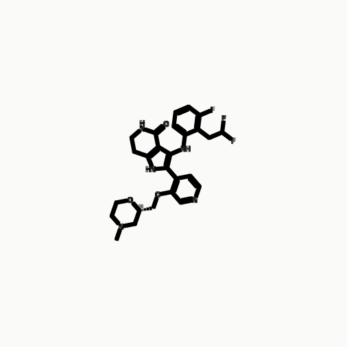 CN1CCO[C@H](COc2cnccc2-c2[nH]c3c(c2Nc2cccc(F)c2CC(F)F)C(=O)NCC3)C1